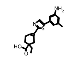 CCC1(C(=O)O)CCC2C(C1)C2c1ncc(-c2cc(C)cc(N)c2)s1